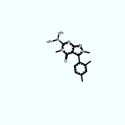 CCCN(CCC)c1nc2nn(C)c(-c3ccc(C)cc3C)c2c(=O)n1C